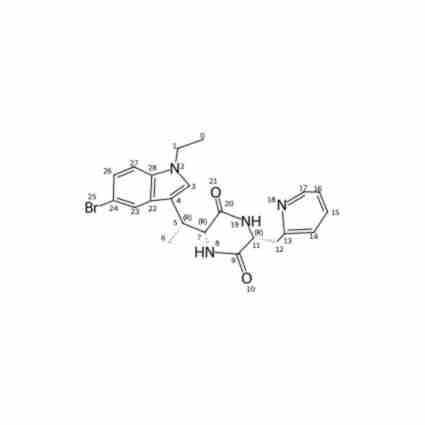 CCn1cc([C@@H](C)[C@H]2NC(=O)[C@@H](Cc3ccccn3)NC2=O)c2cc(Br)ccc21